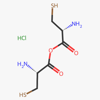 Cl.N[C@@H](CS)C(=O)OC(=O)[C@@H](N)CS